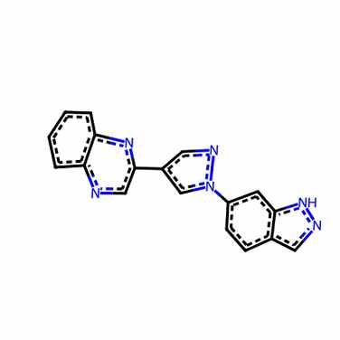 c1ccc2nc(-c3cnn(-c4ccc5cn[nH]c5c4)c3)cnc2c1